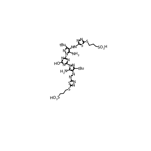 CC(C)(C)c1nn(-c2nc(O)nc(-n3nc(C(C)(C)C)c(N=Nc4nnc(SCCCS(=O)(=O)O)s4)c3N)n2)c(N)c1N=Nc1nnc(SCCCS(=O)(=O)O)s1